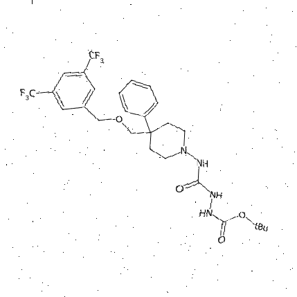 CC(C)(C)OC(=O)NNC(=O)NN1CCC(COCc2cc(C(F)(F)F)cc(C(F)(F)F)c2)(c2ccccc2)CC1